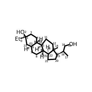 CC[C@@]1(O)CC[C@H]2[C@@H](CC[C@@H]3[C@@H]2CC[C@]2(C)[C@@H](C(C)CO)CC[C@@H]32)C1